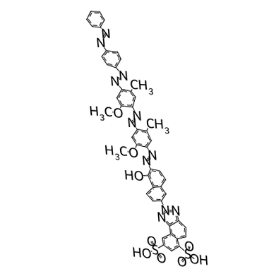 COc1cc(N=Nc2ccc(N=Nc3ccccc3)cc2)c(C)cc1N=Nc1cc(OC)c(N=Nc2ccc3cc(-n4nc5ccc6c(S(=O)(=O)O)cc(S(=O)(=O)O)cc6c5n4)ccc3c2O)cc1C